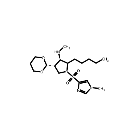 CCCCCC1[C@H](NC)[C@@H](C2OCCCO2)CN1S(=O)(=O)c1cn(C)cn1